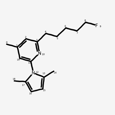 Cc1cc(CCCCCF)nc(-n2c(C)ccc2C)c1